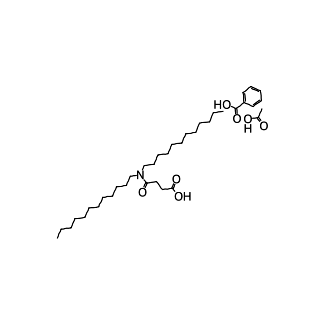 CC(=O)O.CCCCCCCCCCCCN(CCCCCCCCCCCC)C(=O)CCC(=O)O.O=C(O)c1ccccc1